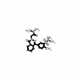 Cc1ccc(C2=NN(CC(=O)N(C)C)C(=O)C3C=CC=CC23)cc1S(=O)(=O)N(C)C